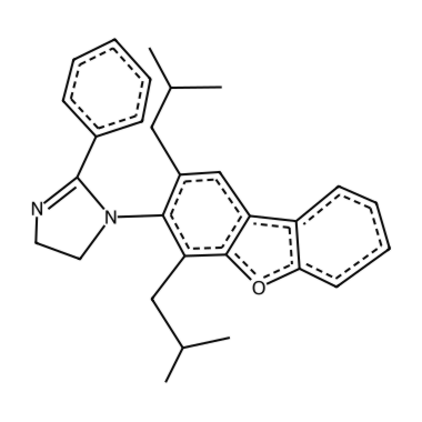 CC(C)Cc1cc2c(oc3ccccc32)c(CC(C)C)c1N1CCN=C1c1ccccc1